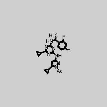 CC(=O)n1nc(Nc2nc(NC(C)c3ccc(F)cc3F)nc(C3CC3)n2)cc1C1CC1